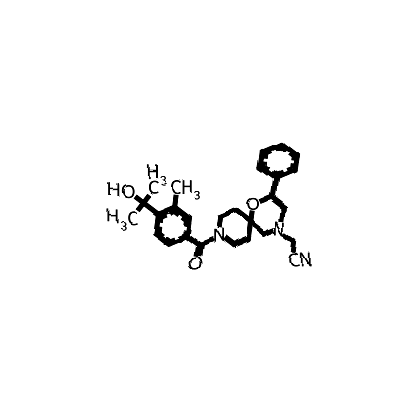 Cc1cc(C(=O)N2CCC3(CC2)CN(CC#N)CC(c2ccccc2)O3)ccc1C(C)(C)O